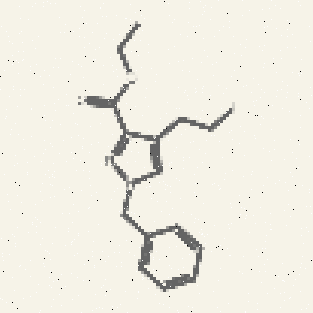 CCOC(=O)c1nn(Cc2ccccc2)cc1CCI